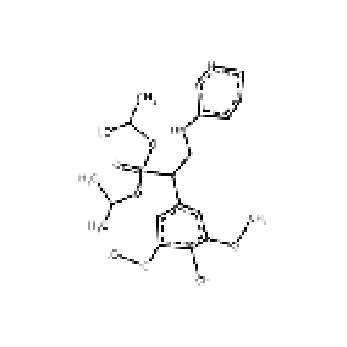 COc1cc(C(CNc2cccnc2)P(=O)(OC(C)C)OC(C)C)cc(OC)c1O